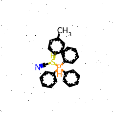 Cc1ccc([SH](C#N)[PH](c2ccccc2)(c2ccccc2)c2ccccc2)cc1